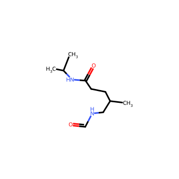 CC(CCC(=O)NC(C)C)CNC=O